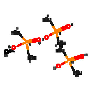 CCCCP(=O)([O-])CCCC.CCCCP(=O)([O-])CCCC.CCCCP(=O)([O-])CCCC.[Cr+3]